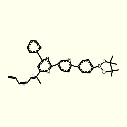 C=C/C=C\C=C(/C)c1cc(-c2ccccc2)nc(-c2ccc(-c3ccc(B4OC(C)(C)C(C)(C)O4)cc3)nc2)n1